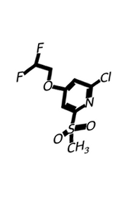 CS(=O)(=O)c1cc(OCC(F)F)cc(Cl)n1